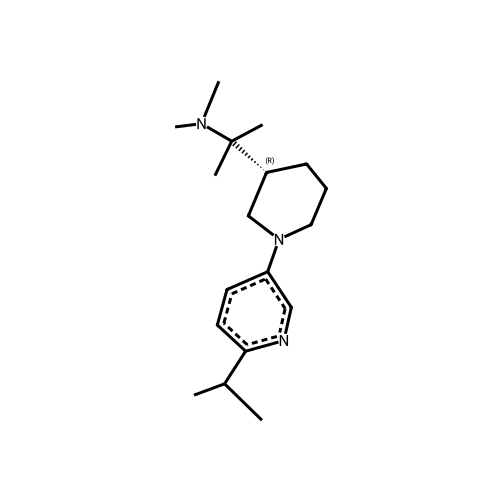 CC(C)c1ccc(N2CCC[C@@H](C(C)(C)N(C)C)C2)cn1